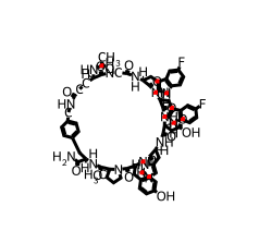 CC(=O)N[C@@H]1CCC(=O)NCc2ccc(cc2)C[C@@H](C(N)=O)NC(=O)[C@]2(C)CCCN2C(=O)[C@H](Cc2ccc(O)cc2)NC(=O)[C@H](Cc2cnc[nH]2)NC(=O)[C@H](CC(=O)O)NC(=O)[C@H](Cc2c[nH]c3ccc(F)cc23)NC(=O)[C@H](Cc2c[nH]c3ccc(F)cc23)NC(=O)CNC1=O